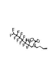 CCCCN(CC(F)(F)C(F)(F)C(F)(F)C(F)(F)C(F)(F)C(F)F)C(=O)O